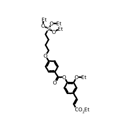 CCOC(=O)/C=C/c1ccc(OC(=O)c2ccc(OCCCC[Si](OCC)(OCC)OCC)cc2)c(OCC)c1